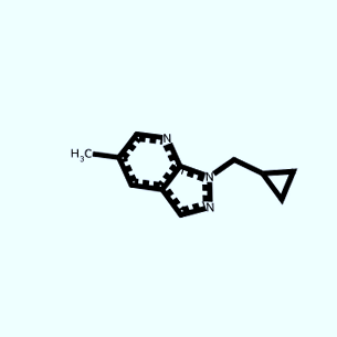 Cc1cnc2c(cnn2CC2CC2)c1